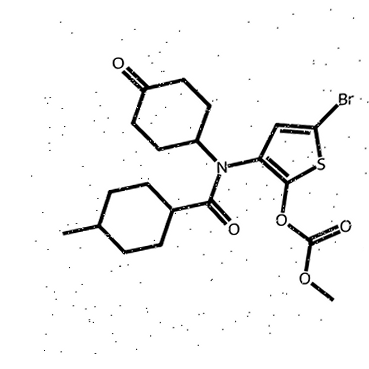 COC(=O)Oc1sc(Br)cc1N(C(=O)C1CCC(C)CC1)C1CCC(=O)CC1